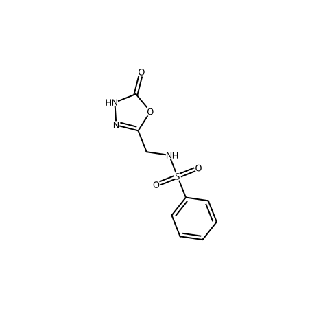 O=c1[nH]nc(CNS(=O)(=O)c2ccccc2)o1